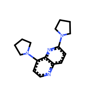 c1cc(N2CCCC2)c2nc(N3CCCC3)ccc2n1